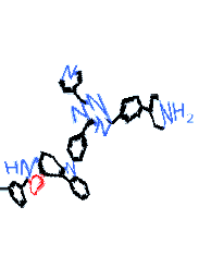 C/C=C(\C=C/N)c1ccc(-c2nc(-c3ccncc3)nc(-c3ccc(-n4c5c(c6ccccc64)C4=C(CC5)NC(c5ccccc5)O4)cc3)n2)cc1